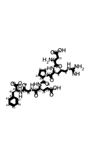 N=C(N)NCCC[C@H](NC(=O)[C@@H](N)CC(=O)O)C(=O)N1CCC[C@H]1C(=O)N[C@@H](CCC(=O)O)C(=O)NCC(=O)N[C@@H](Cc1ccccc1)C(=O)O